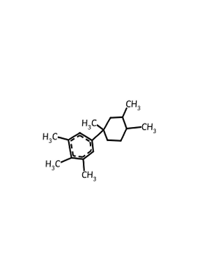 Cc1cc(C2(C)CCC(C)C(C)C2)cc(C)c1C